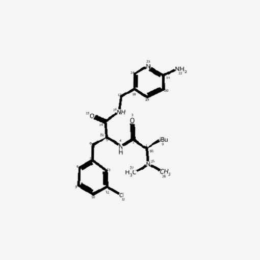 CCC(C)[C@H](C(=O)N[C@@H](Cc1cccc(Cl)c1)C(=O)NCc1ccc(N)nc1)N(C)C